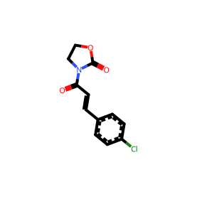 O=C(/C=C/c1ccc(Cl)cc1)N1CCOC1=O